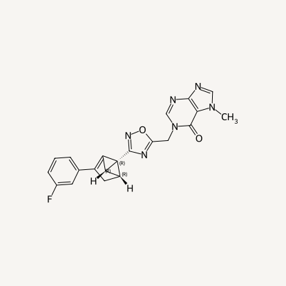 Cn1cnc2ncn(Cc3nc([C@]45C6=C(c7cccc(F)c7)C[C@@H]4[C@H]65)no3)c(=O)c21